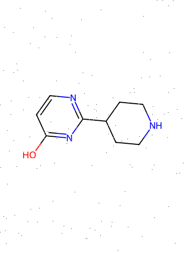 Oc1ccnc(C2CCNCC2)n1